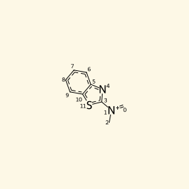 C=[N+](C)c1nc2ccccc2s1